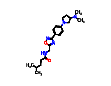 CC(C)CCC(=O)NCc1nc(-c2ccc(N3CCC(N(C)C)C3)cc2)no1